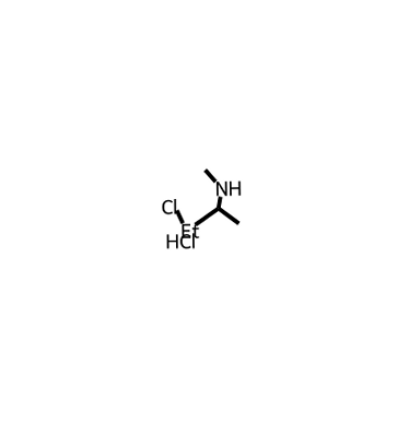 CCCl.CNC(C)C.Cl